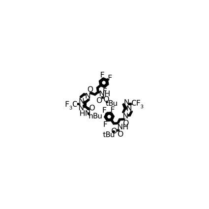 CC(C)(C)OC(=O)NC(CC(=O)N1CCn2c(cnc2C(F)(F)F)C1)Cc1cc(F)c(F)cc1F.CCCCNC(=O)c1nc(C(F)(F)F)n2c1CN(C(=O)CC(Cc1cc(F)c(F)cc1F)NC(=O)OC(C)(C)C)CC2